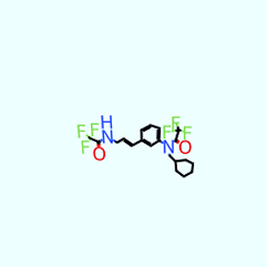 O=C(NCC=Cc1cccc(N(CC2CCCCC2)C(=O)C(F)(F)F)c1)C(F)(F)F